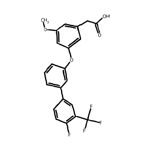 COc1cc(CC(=O)O)cc(Oc2cccc(-c3ccc(F)c(C(F)(F)F)c3)c2)c1